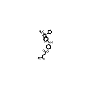 Cc1nc2cnc(N[C@H]3CC[C@H](OC(=O)CCC(=O)O)CC3)nc2n1C1CCCC1